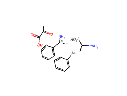 CC(=O)C(=O)O.CC(=O)c1ccccc1.CC(N)C(=O)O.C[C@@H](N)c1ccccc1